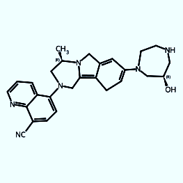 C[C@@H]1CN(c2ccc(C#N)c3ncccc23)CC2=C3CC=C(N4CCNC[C@@H](O)C4)C=C3CN21